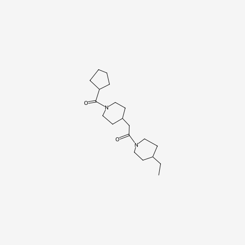 CCC1CCN(C(=O)CC2CCN(C(=O)C3CCCC3)CC2)CC1